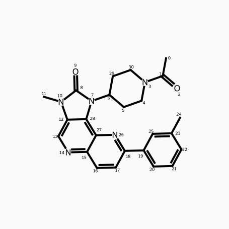 CC(=O)N1CCC(n2c(=O)n(C)c3cnc4ccc(-c5cccc(C)c5)nc4c32)CC1